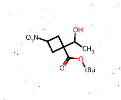 CC(O)C1(C(=O)OC(C)(C)C)CC([N+](=O)[O-])C1